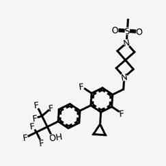 CS(=O)(=O)N1CC2(CN(Cc3cc(F)c(-c4ccc(C(O)(C(F)(F)F)C(F)(F)F)cc4)c(C4CC4)c3F)C2)C1